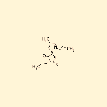 CCCN1CC(C)SC1=C1SC(=S)N(CCC)C1=O